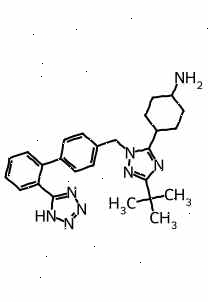 CC(C)(C)c1nc(C2CCC(N)CC2)n(Cc2ccc(-c3ccccc3-c3nnn[nH]3)cc2)n1